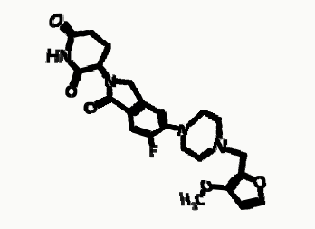 COc1ccoc1CN1CCN(c2cc3c(cc2F)C(=O)N(C2CCC(=O)NC2=O)C3)CC1